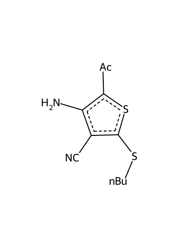 CCCCSc1sc(C(C)=O)c(N)c1C#N